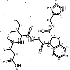 CC[C@H](C)[C@H](NC(=O)C(C)CC(=O)O)C(=O)NCC(=O)N1c2ccccc2C[C@H]1C(=O)NCc1nn[nH]n1